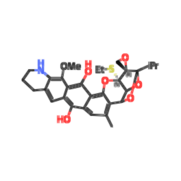 CCS[C@@]12Oc3c(c(C)cc4c(O)c5cc6c(c(OC)c5c(O)c34)NCCC6)C3OC(C(C)C)(OC31)[C@]21CO1